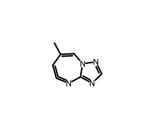 CC1=Cn2ncnc2N=C=C1